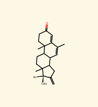 C=C1CC2C3C=C(C)C4=CC(=O)CCC4(C)C3CCC2(C)[C@@]1(OC(C)=O)C(C)=O